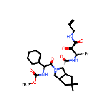 C=CCNC(=O)C(=O)C(CCC)NC(=O)[C@@H]1C2CC(C)(C)CC2CN1C(=O)[C@@H](NC(=O)OC(C)(C)C)C1CCCCC1